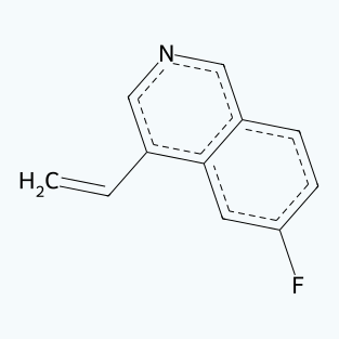 C=Cc1cncc2ccc(F)cc12